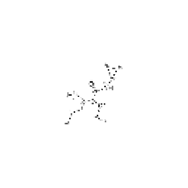 CCCC(N)C(OCC)C(=O)NC1CC1